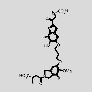 COc1c(OCCCOc2cc3cc(C(=O)C[C@H](C)C(=O)O)sc3c(F)c2O)cc2c(c1F)CN(C(=O)C[C@H](C)C(=O)O)C2